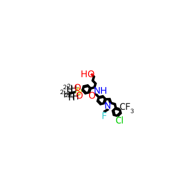 [2H]C([2H])([2H])C([2H])([2H])S(=O)(=O)c1ccc(C(CCCO)NC(=O)c2ccc3c(c2)cc(Cc2ccc(Cl)cc2C(F)(F)F)n3CCF)cc1